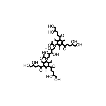 CC(=O)N(CC(O)C(O)C(O)CN(C(C)=O)c1c(I)c(C(=O)CCC(O)CO)c(I)c(C(=O)CCC(O)CO)c1I)c1c(I)c(C(=O)CCC(O)CO)c(I)c(C(=O)CCC(O)CO)c1I